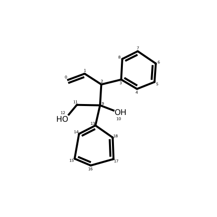 C=CC(c1ccccc1)C(O)(CO)c1ccccc1